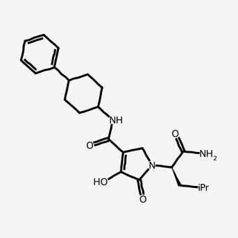 CC(C)C[C@H](C(N)=O)N1CC(C(=O)NC2CCC(c3ccccc3)CC2)=C(O)C1=O